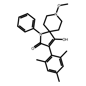 CON1CCC2(CC1)C(O)=C(c1c(C)cc(C)cc1C)C(=O)N2c1ccccc1